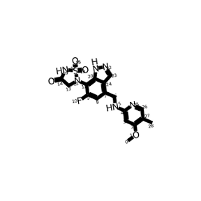 COc1cc(NCc2cc(F)c(N3CC(=O)NS3(=O)=O)c3[nH]ncc23)ncc1C